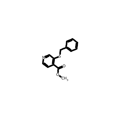 COC(=O)c1ccncc1SCc1ccccc1